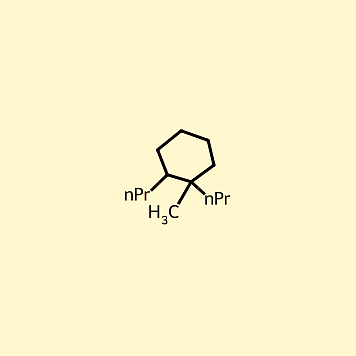 CCCC1CCCCC1(C)CCC